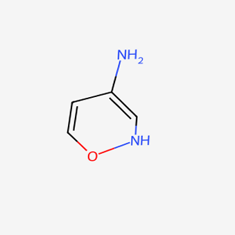 NC1=CNOC=C1